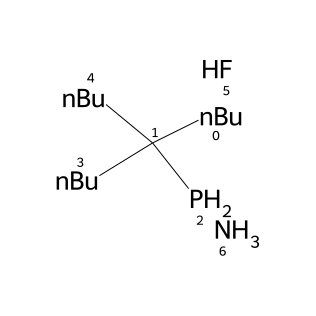 CCCCC(P)(CCCC)CCCC.F.N